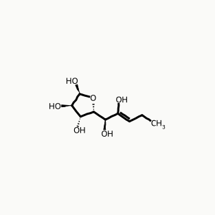 CCC=C(O)[C@@H](O)[C@H]1O[C@H](O)[C@H](O)[C@H]1O